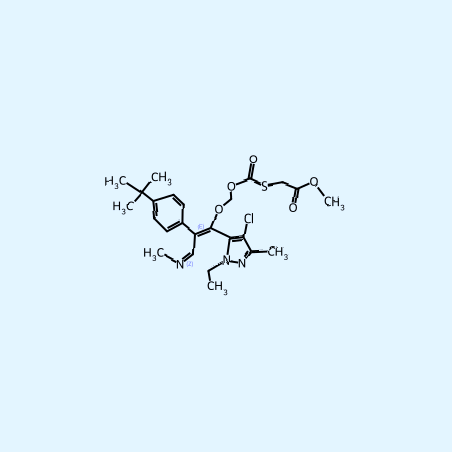 CCn1nc(C)c(Cl)c1/C(OCOC(=O)SCC(=O)OC)=C(\C=N/C)c1ccc(C(C)(C)C)cc1